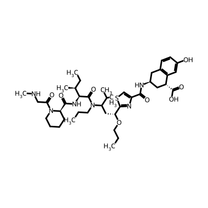 CCCO[C@H](CC(C(C)C)N(CCC)C(=O)[C@@H](NC(=O)[C@H]1CCCCN1C(=O)CNC)[C@@H](C)CC)c1nc(C(=O)N[C@H]2Cc3ccc(O)cc3[C@H](C(=O)O)C2)cs1